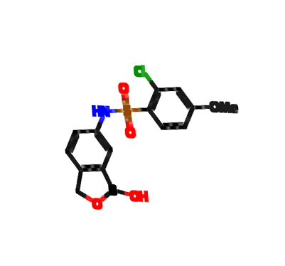 COc1ccc(S(=O)(=O)Nc2ccc3c(c2)B(O)OC3)c(Cl)c1